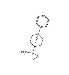 O=C(O)C1(C23CCC(c4ccccc4)(CC2)CC3)CC1